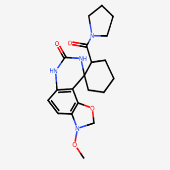 CON1COc2c1ccc1c2C2(CCCCC2C(=O)N2CCCC2)NC(=O)N1